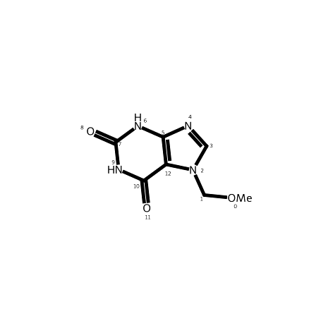 COCn1cnc2[nH]c(=O)[nH]c(=O)c21